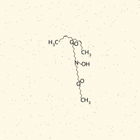 CCCC/C=C\CCC(CC/C=C\CCCC)OC(=O)CCCCCCCN(CCO)CCCCCCCC(=O)OCCCCCCC